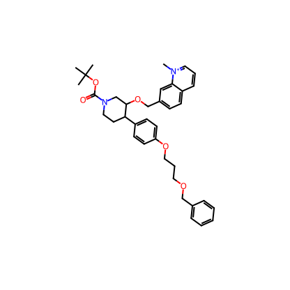 C[n+]1cccc2ccc(COC3CN(C(=O)OC(C)(C)C)CCC3c3ccc(OCCCOCc4ccccc4)cc3)cc21